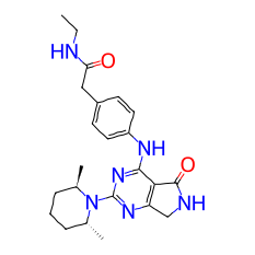 CCNC(=O)Cc1ccc(Nc2nc(N3[C@H](C)CCC[C@H]3C)nc3c2C(=O)NC3)cc1